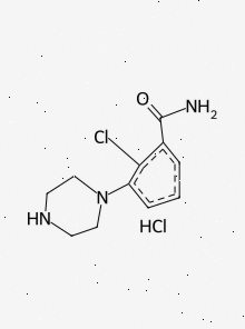 Cl.NC(=O)c1cccc(N2CCNCC2)c1Cl